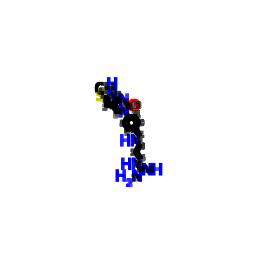 CSc1cc2cn(-c3ccc(CNCCCNC(=N)N)cc3)c(=O)nc2[nH]1